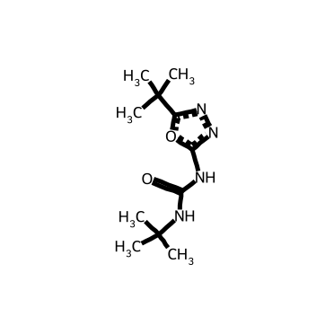 CC(C)(C)NC(=O)Nc1nnc(C(C)(C)C)o1